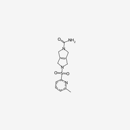 Cc1cccc(S(=O)(=O)N2CC3=C(CN(C(N)=O)C3)C2)n1